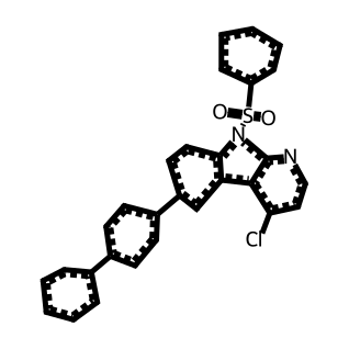 O=S(=O)(c1ccccc1)n1c2ccc(-c3ccc(-c4ccccc4)cc3)cc2c2c(Cl)ccnc21